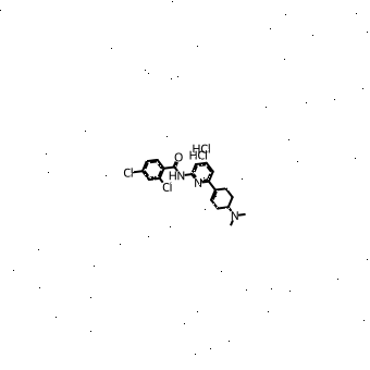 CN(C)C1CC=C(c2cccc(NC(=O)c3ccc(Cl)cc3Cl)n2)CC1.Cl.Cl